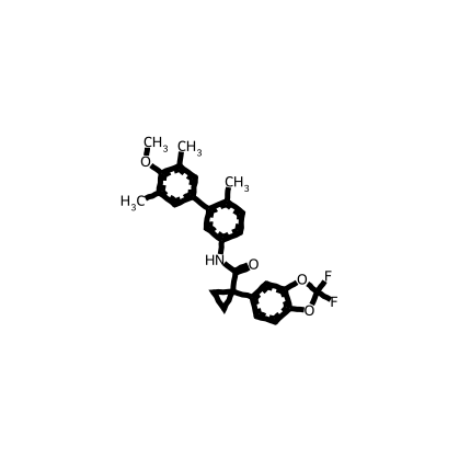 COc1c(C)cc(-c2cc(NC(=O)C3(c4ccc5c(c4)OC(F)(F)O5)CC3)ccc2C)cc1C